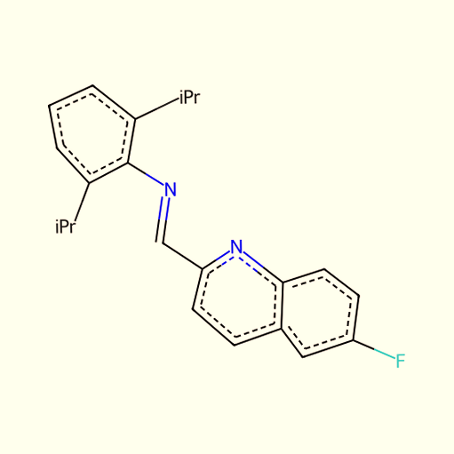 CC(C)c1cccc(C(C)C)c1N=Cc1ccc2cc(F)ccc2n1